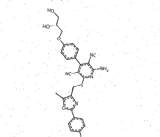 [C-]#[N+]c1c(N)nc(SCc2nc(-c3ccc(Cl)cc3)oc2C)c(C#N)c1-c1ccc(OC[C@H](O)CO)cc1